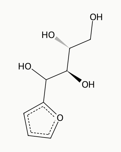 OC[C@@H](O)[C@@H](O)C(O)c1ccco1